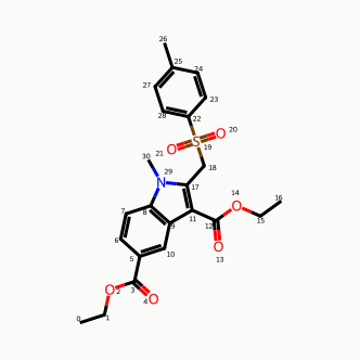 CCOC(=O)c1ccc2c(c1)c(C(=O)OCC)c(CS(=O)(=O)c1ccc(C)cc1)n2C